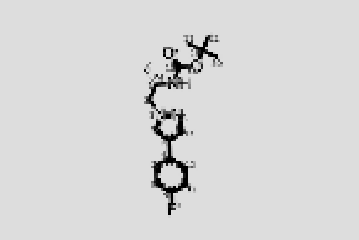 C[C@@H](Cn1cc(-c2ccc(F)cc2)cn1)NC(=O)OC(C)(C)C